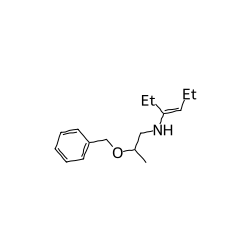 CC/C=C(\CC)NCC(C)OCc1ccccc1